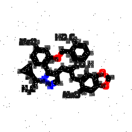 COc1ccc(-c2c(/C=C(\Cc3cc4c(cc3OC)OCO4)C(=O)O)cnn2C(C)C2CC2)c(OCc2ccccc2C(=O)O)c1